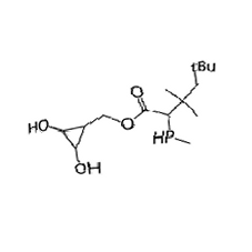 CPC(C(=O)OCC1C(O)C1O)C(C)(C)CC(C)(C)C